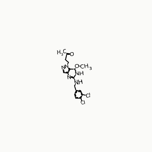 COC1NC(NCc2ccc(Cl)c(Cl)c2)=Nc2cnn(CCC(C)=O)c21